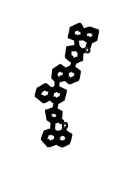 c1cc2c3c(cccc3c1)-c1ccc(-c3cccc4c(-c5ccc(-c6ccc7c(c6)Oc6cccc8cccc-7c68)c6ccccc56)cccc34)cc1O2